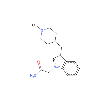 CN1CCC(Cc2cn(CC(N)=O)c3ccccc23)CC1